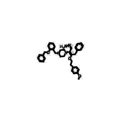 COc1ccc(CCO/C(Cc2ccccc2)=C(/C=N\N)N2CCN(Cc3ccccc3OCc3ccccc3)CC2)cc1